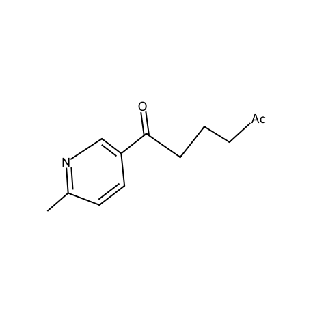 CC(=O)CCCC(=O)c1ccc(C)nc1